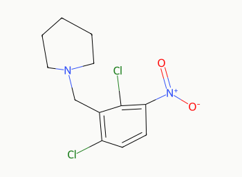 O=[N+]([O-])c1ccc(Cl)c(CN2CCCCC2)c1Cl